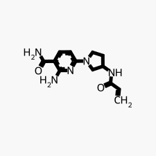 C=CC(=O)NC1CCN(c2ccc(C(N)=O)c(N)n2)C1